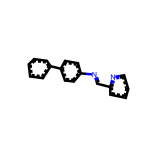 C(=Nc1ccc(-c2ccccc2)cc1)c1ccccn1